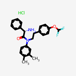 Cc1ccc(N(CCc2ccc(OC(F)F)cc2)C(=O)[C@@H](N)c2ccccc2)cc1C.Cl